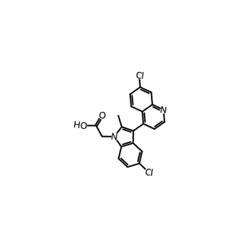 Cc1c(-c2ccnc3cc(Cl)ccc23)c2cc(Cl)ccc2n1CC(=O)O